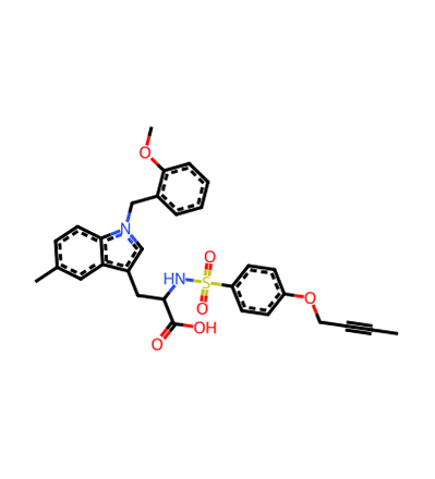 CC#CCOc1ccc(S(=O)(=O)NC(Cc2cn(Cc3ccccc3OC)c3ccc(C)cc23)C(=O)O)cc1